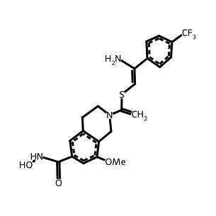 C=C(S/C=C(\N)c1ccc(C(F)(F)F)cc1)N1CCc2cc(C(=O)NO)cc(OC)c2C1